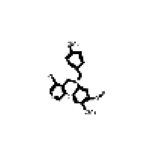 CCOc1cc(N(Cc2ccc(OC)cc2)Cc2c(Cl)cncc2Cl)ccc1OC